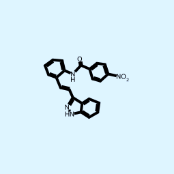 O=C(Nc1ccccc1C=Cc1n[nH]c2ccccc12)c1ccc([N+](=O)[O-])cc1